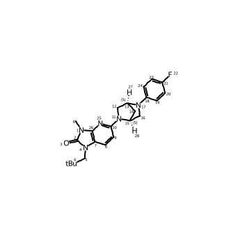 Cn1c(=O)n(CC(C)(C)C)c2ccc(N3C[C@@H]4C[C@H]3CN4c3ccc(F)cc3)nc21